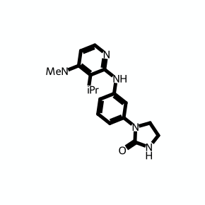 CNc1ccnc(Nc2cccc(N3CCNC3=O)c2)c1C(C)C